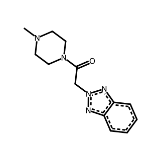 CN1CCN(C(=O)Cn2nc3ccccc3n2)CC1